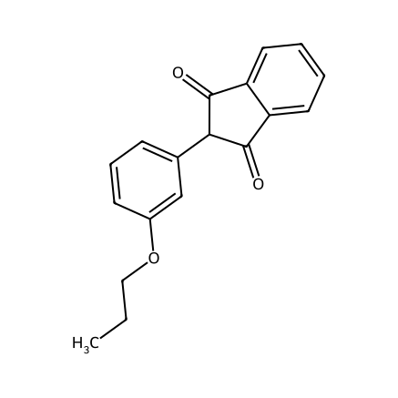 CCCOc1cccc(C2C(=O)c3ccccc3C2=O)c1